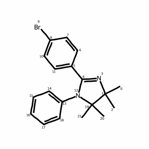 CC1(C)N=C(c2ccc(Br)cc2)N(c2ccccc2)C1(C)C